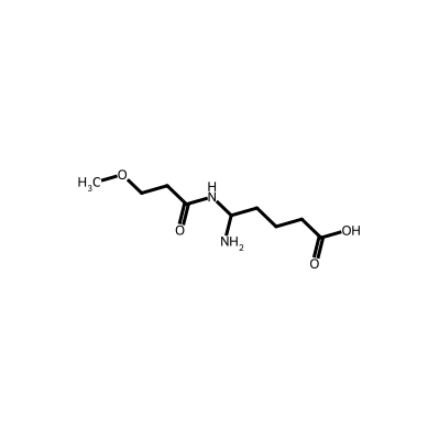 COCCC(=O)NC(N)CCCC(=O)O